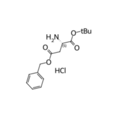 CC(C)(C)OC(=O)[C@@H](N)CC(=O)OCc1ccccc1.Cl